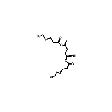 CCCSSCCC(=O)OC(=N)CCC(=O)OC(=O)CCSSCCC